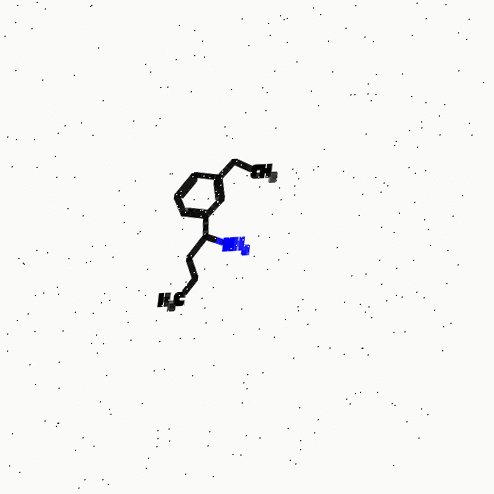 CCCC(N)c1cccc(CC)c1